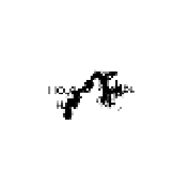 C#CCOCc1cc(NC(=O)[C@H](CCCNC(N)=O)NC(=O)[C@@H](NC(=O)OC(C)(C)C)C(C)C)ccc1C[N+](C)(C)CC#Cc1ccc(OCCCc2sc(N(C)c3cc(C)c(Nc4nc5ccccc5s4)nn3)nc2C(=O)O)c(F)c1